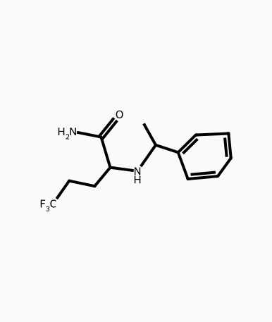 CC(NC(CCC(F)(F)F)C(N)=O)c1ccccc1